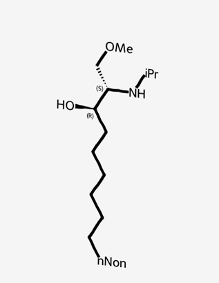 CCCCCCCCCCCCCCC[C@@H](O)[C@H](COC)NC(C)C